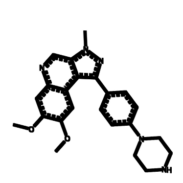 COc1cc2ncc3c(c(-c4ccc(N5CCNCC5)cc4)nn3C)c2cc1OC